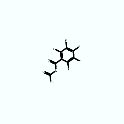 O=C(OC(=O)C(F)(F)F)c1c(F)c(F)c(F)c(F)c1F